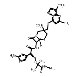 Cc1cc(SCC2(C(=O)O)CS[C@@H]3C(NC(=O)C(=NOC(C)(C)C(=O)NN)c4csc(N)n4)C(=O)N3C2)n2ncc(C(=O)O)c2n1